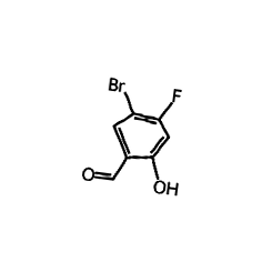 O=Cc1cc(Br)c(F)cc1O